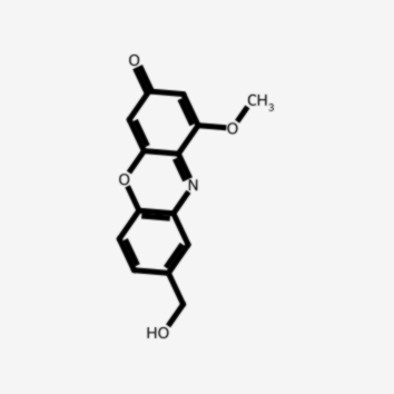 COc1cc(=O)cc2oc3ccc(CO)cc3nc1-2